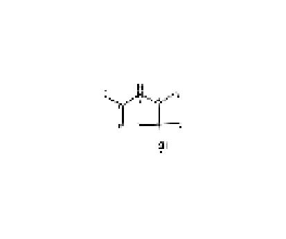 CC(C)NC(C)C(C)(C)S